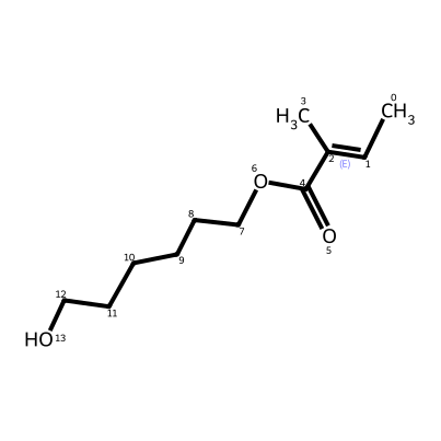 C/C=C(\C)C(=O)OCCCCCCO